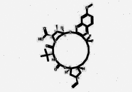 C=C[C@@H]1C[C@H]2CCCCC(F)(F)c3nc4ccc(OC)cc4nc3O[C@H]3CN(C(=O)[C@H](C(C)(C)C)NC(=O)O[C@@H]2C1)[C@H](C(=O)O)[C@@H]3C